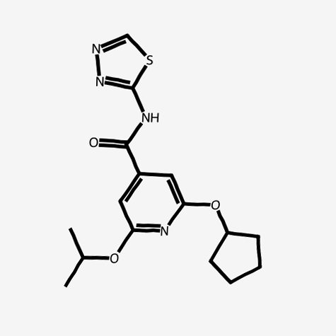 CC(C)Oc1cc(C(=O)Nc2nncs2)cc(OC2CCCC2)n1